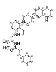 CCc1c(NCC(NC(=O)CCc2ccccc2)C(=O)O)ncnc1N1CCC(c2ccc3c(n2)NCCC3)CC1